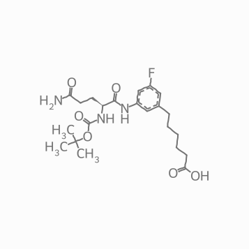 CC(C)(C)OC(=O)N[C@@H](CCC(N)=O)C(=O)Nc1cc(F)cc(CCCCCC(=O)O)c1